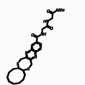 CNC(=O)CNC(=O)CNC(=O)c1ccc2nc3c(nc2c1)CSC1CCCCCCCCC1SC3